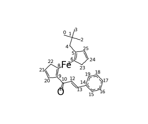 CC(C)(C)CC1=[C]([Fe][C]2=C(C(=O)C=Cc3ccccc3)C=CC2)CC=C1